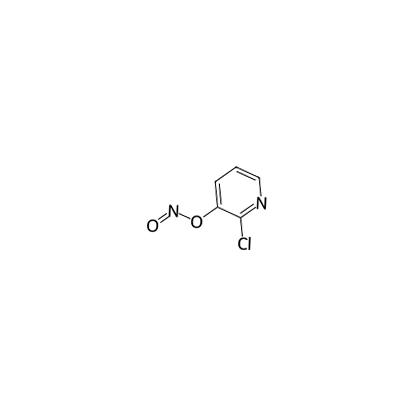 O=NOc1cccnc1Cl